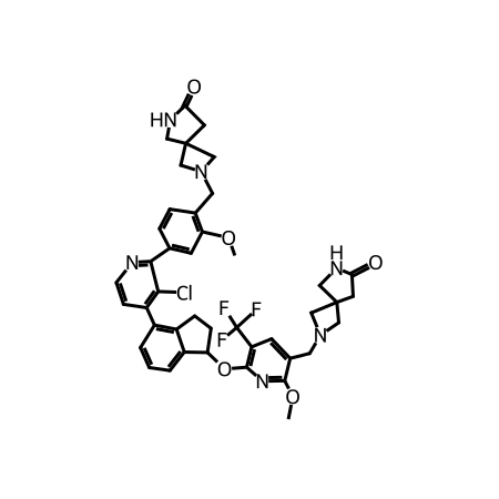 COc1cc(-c2nccc(-c3cccc4c3CCC4Oc3nc(OC)c(CN4CC5(CNC(=O)C5)C4)cc3C(F)(F)F)c2Cl)ccc1CN1CC2(CNC(=O)C2)C1